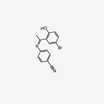 CC(=Nc1ccc(C#N)cc1)c1cc(Br)ccc1O